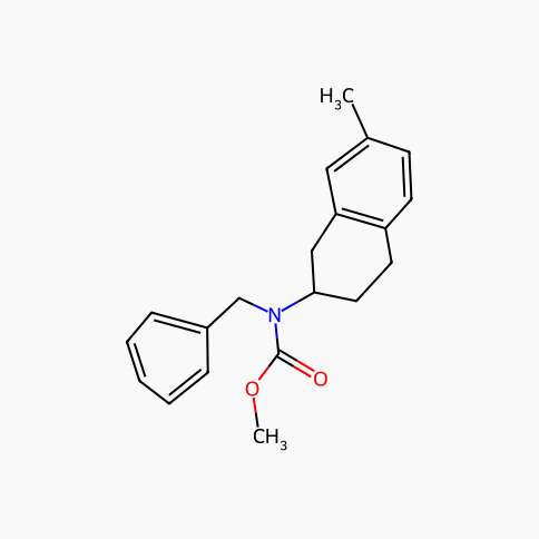 COC(=O)N(Cc1ccccc1)C1CCc2ccc(C)cc2C1